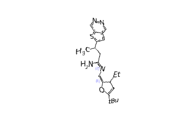 CCC1C=C(C(C)(C)C)O/C1=C/N=C(\N)CC(C)c1cc2cnncc2s1